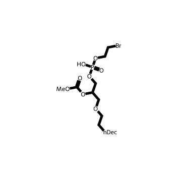 CCCCCCCCCCCCOCC(COP(=O)(O)OCCBr)OC(=O)OC